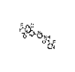 COC(=O)c1cc(-c2ccc(NC(=O)Cc3cccnc3F)cn2)ccc1N(CC(F)F)C(C)=O